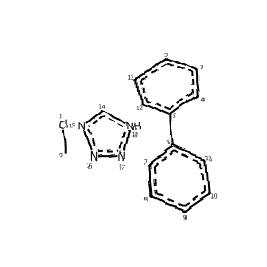 CCl.c1ccc(-c2ccccc2)cc1.c1nnn[nH]1